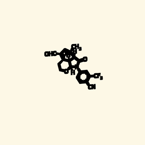 C[C@@]12C[C@H](C=O)[C@]3(CCO[C@H]4[C@@H]3[C@@H]1C(=O)N4c1ccc(C#N)c(C(F)(F)F)c1)O2